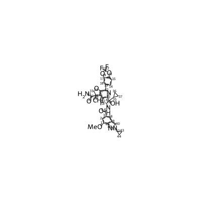 COc1cc(C(=O)NC[C@](O)(c2nc(-c3ccc4c(c3)OC(F)(F)O4)c3c(c2F)[C@](C)(C(N)=O)CO3)C2CC2)cc2cn(C3CC3)nc12